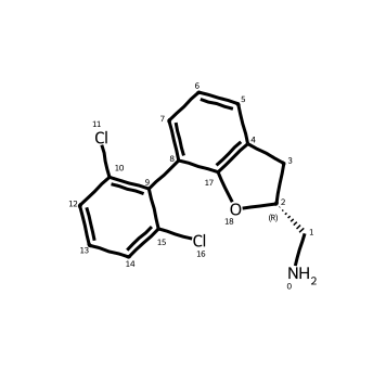 NC[C@H]1Cc2cccc(-c3c(Cl)cccc3Cl)c2O1